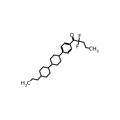 CCCC1CCC(C2CCC(c3ccc(C(=O)C(F)(F)CCC)cc3)CC2)CC1